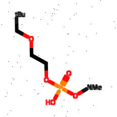 CNOP(=O)(O)OCCOCC(C)(C)C